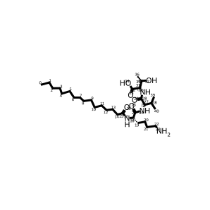 CCCCCCCCCCCCCCCC(=O)N[C@@H](CCCCN)C(=O)N[C@H](C(=O)N[C@H](C(=O)O)[C@@H](C)O)C(C)C